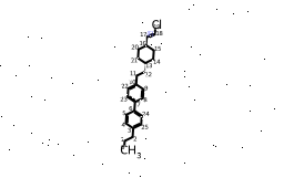 CCCc1ccc(-c2ccc(CC[C@H]3CC[C@H](/C=C/Cl)CC3)cc2)cc1